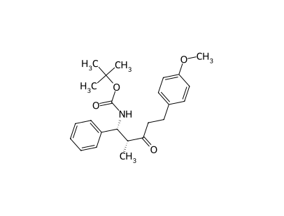 COc1ccc(CCC(=O)[C@H](C)[C@@H](NC(=O)OC(C)(C)C)c2ccccc2)cc1